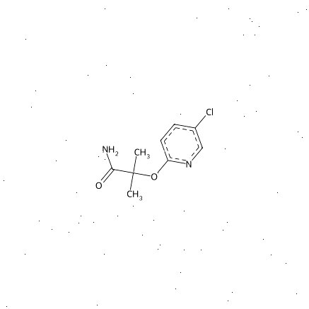 CC(C)(Oc1ccc(Cl)cn1)C(N)=O